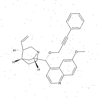 C=C[C@H]1CN2CC[C@H]1C[C@H]2[C@H](OCC#Cc1ccccc1)c1ccnc2ccc(OC)cc12